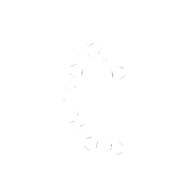 O=C(NCC[C@H](NC(=O)c1ccc(Nc2nc(NC3(c4ccc(Cl)cc4)CC3)nc(OCC(F)(F)F)n2)cc1)C(=O)O)C(=O)Nc1cccc(Oc2ccccc2)c1